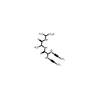 CC#CNC(NC#CC)C(=O)NC(C)C(=O)NC(C)C(=O)O